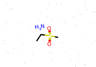 CCS(C)(=O)=O.N